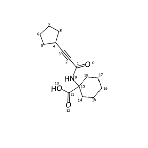 O=C(C#CC1CCCC1)NC1(C(=O)O)CCCCC1